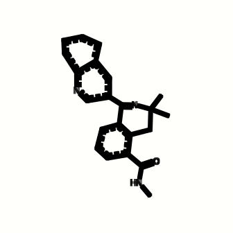 CNC(=O)c1cccc2c1CC(C)(C)N=C2c1cnc2ccccc2c1